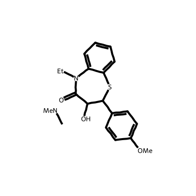 CCN1C(=O)C(O)C(c2ccc(OC)cc2)Sc2ccccc21.CNC